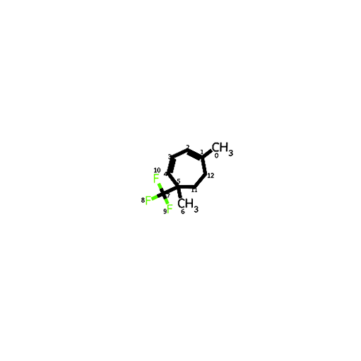 CC1=CC=CC(C)(C(F)(F)F)CC1